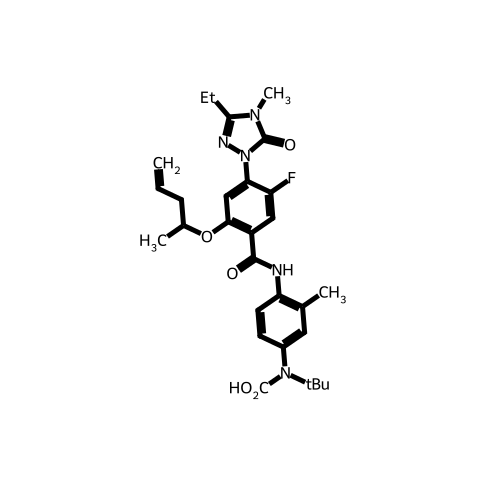 C=CCC(C)Oc1cc(-n2nc(CC)n(C)c2=O)c(F)cc1C(=O)Nc1ccc(N(C(=O)O)C(C)(C)C)cc1C